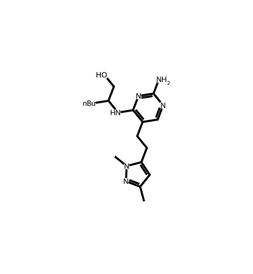 CCCCC(CO)Nc1nc(N)ncc1CCc1cc(C)nn1C